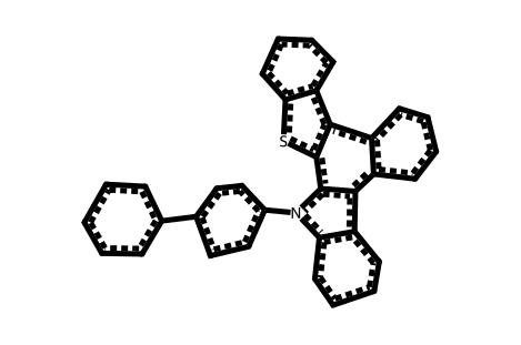 c1ccc(-c2ccc(-n3c4ccccc4c4c5ccccc5c5c6ccccc6sc5c43)cc2)cc1